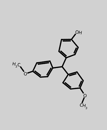 COc1ccc(C(c2ccc(O)cc2)c2ccc(OC)cc2)cc1